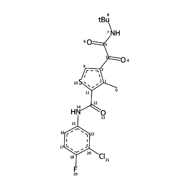 Cc1c(C(=O)C(=O)NC(C)(C)C)csc1C(=O)Nc1ccc(F)c(Cl)c1